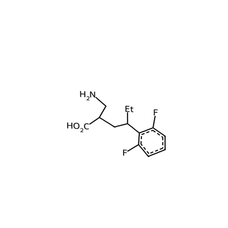 CCC(CC(CN)C(=O)O)c1c(F)cccc1F